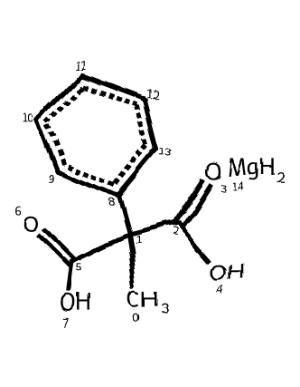 CC(C(=O)O)(C(=O)O)c1ccccc1.[MgH2]